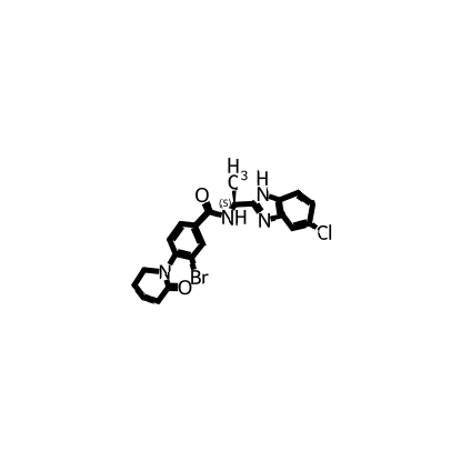 C[C@H](NC(=O)c1ccc(N2CCCCC2=O)c(Br)c1)c1nc2cc(Cl)ccc2[nH]1